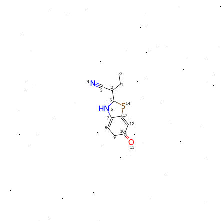 CCC(C#N)C1NC2=CCC(=O)C=C2S1